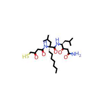 CCCCCCC[C@@](CC(C)C)(NC(=O)CC(=O)CS)C(=O)N[C@@H](CC(C)C)C(=O)CC(N)=O